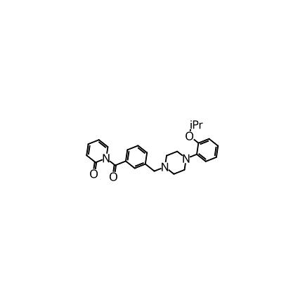 CC(C)Oc1ccccc1N1CCN(Cc2cccc(C(=O)n3ccccc3=O)c2)CC1